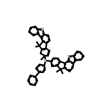 CC1(C)C2=C(C=CC(C)(N(c3ccc(-c4ccccc4)cc3)c3ccc4c(c3)C(C)(C)c3ccc5c(sc6ccccc65)c3-4)C2)c2ccc3oc4ccccc4c3c21